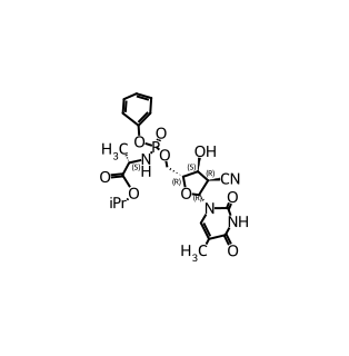 Cc1cn([C@@H]2O[C@H](COP(=O)(N[C@@H](C)C(=O)OC(C)C)Oc3ccccc3)[C@@H](O)[C@H]2C#N)c(=O)[nH]c1=O